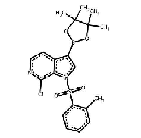 Cc1ccccc1S(=O)(=O)n1cc(B2OC(C)(C)C(C)(C)O2)c2ccnc(Cl)c21